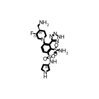 NC[C@H]1CCN(c2ccc(S(=O)(=O)N[C@@H]3CCNC3)c(S(N)(=O)=O)c2-c2nn[nH]n2)C[C@H]1F